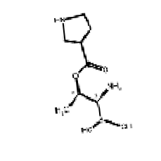 C[C@@H](OC(=O)C1CCNC1)[C@@H](N)B(O)O